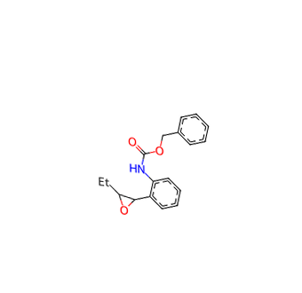 CCC1OC1c1ccccc1NC(=O)OCc1ccccc1